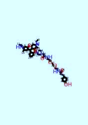 CC/N=c1\cc2oc3cc(NCC)c(C)cc3c(-c3ccccc3C(=O)N3CCN(CC(=O)NCCOCCOCCNC(=O)/C=C/c4ccc(O)cc4)CC3)c-2cc1C